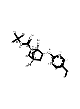 CCc1cnc(O[C@@H]2C[C@H]3C[C@@H]2N(C(=O)OC(C)(C)C)C3)nc1